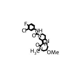 COC1CN(C)C(=O)c2c3c(nn2C1)CCN(C(=O)Nc1ccc(F)c(Cl)c1)C3